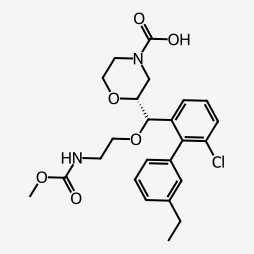 CCc1cccc(-c2c(Cl)cccc2C(OCCNC(=O)OC)[C@H]2CN(C(=O)O)CCO2)c1